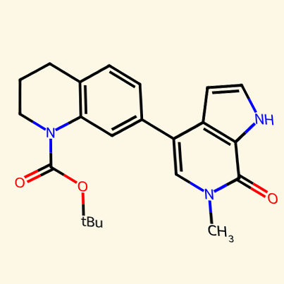 Cn1cc(-c2ccc3c(c2)N(C(=O)OC(C)(C)C)CCC3)c2cc[nH]c2c1=O